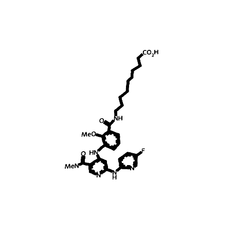 CNC(=O)c1cnc(Nc2ccc(F)cn2)cc1Nc1cccc(C(=O)NCCCCCCCCCC(=O)O)c1OC